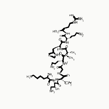 C[C@H](NC(=O)[C@@H](NC(=O)C(N)CCCCN)[C@@H](O)CN)C(=O)NCC(=O)N[C@H](CCCN)C(=O)N(C)[C@@H](C)C(=O)N[C@@H](Cc1cnc[nH]1)C(=O)N[C@@H](CCCCN)C(=O)N/C(=C\CCNC(=N)N)C(=O)O